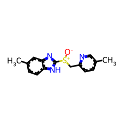 Cc1ccc(C[S+]([O-])c2nc3cc(C)ccc3[nH]2)nc1